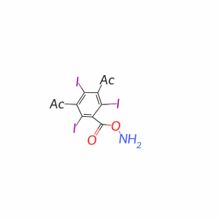 CC(=O)c1c(I)c(C(C)=O)c(I)c(C(=O)ON)c1I